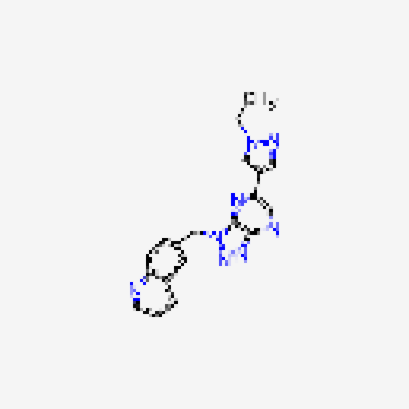 [CH2][CH]n1cc(-c2cnc3nnn(Cc4ccc5ncccc5c4)c3n2)cn1